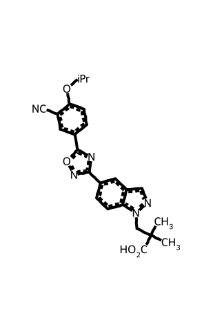 CC(C)Oc1ccc(-c2nc(-c3ccc4c(cnn4CC(C)(C)C(=O)O)c3)no2)cc1C#N